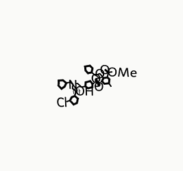 COC(=O)c1cc(C)cc(S(=O)(=O)c2ccc(CCN(Cc3ccccc3)C[C@H](O)c3cccc(Cl)c3)cc2)c1OCc1ccccc1